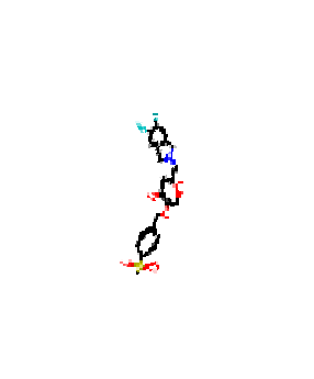 CS(=O)(=O)c1ccc(COc2coc(CN3Cc4cc(F)c(F)cc4C3)cc2=O)cc1